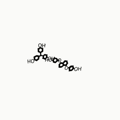 Oc1ccc(C(c2ccc(O)cc2)c2ccc(O)cc2)cc1.Oc1ccc(Oc2cccc3c(Oc4ccc(O)cc4)cccc23)cc1